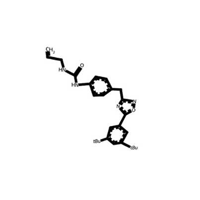 C=CCNC(=O)Nc1ccc(Cc2noc(-c3cc(C(C)(C)C)cc(C(C)(C)C)c3)n2)cc1